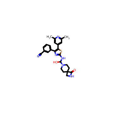 Cc1cc(-c2sc(NC(O)N3CCC4(CC3)CNC4=O)nc2-c2cccc(C#N)c2)cc(C)n1